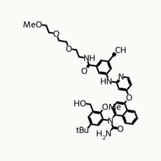 C#Cc1cc(Nc2cc(Oc3ccc(N(C(N)=O)c4cc(C(C)(C)C)cc(CO)c4OC)c4ccccc34)ccn2)cc(C(=O)NCCOCCOCCOC)c1